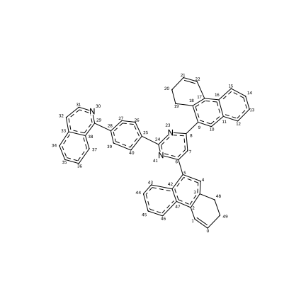 C1=Cc2c(cc(-c3cc(-c4cc5ccccc5c5c4CCC=C5)nc(-c4ccc(-c5nccc6ccccc56)cc4)n3)c3ccccc23)CC1